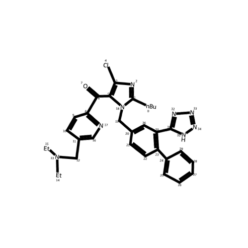 CCCCc1nc(Cl)c(C(=O)c2ccc(CN(CC)CC)cn2)n1Cc1ccc(-c2ccccc2)c(-c2nnn[nH]2)c1